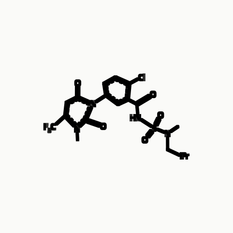 CC(C)CN(C)S(=O)(=O)NC(=O)c1cc(-n2c(=O)cc(C(F)(F)F)n(C)c2=O)ccc1Cl